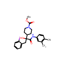 CC(C)(C)OC(=O)N1CCC(C(O)(Cc2ccccc2I)C(=O)Nc2ccc(C#N)c(C(F)(F)F)c2)CC1